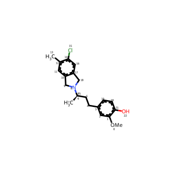 COc1cc(CC[C@@H](C)N2Cc3cc(C)c(Cl)cc3C2)ccc1O